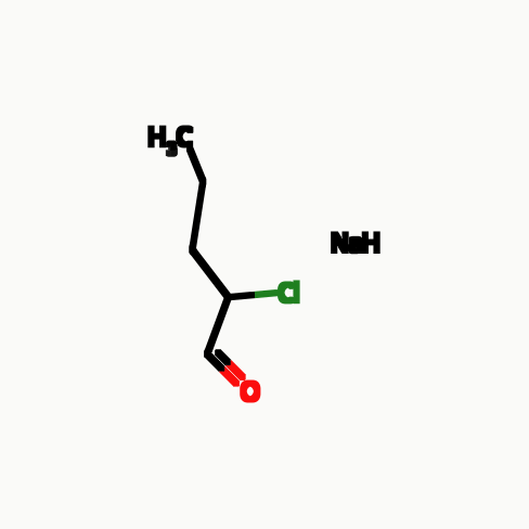 CCCC(Cl)C=O.[NaH]